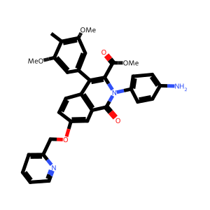 COC(=O)c1c(-c2cc(OC)c(C)c(OC)c2)c2ccc(OCc3ccccn3)cc2c(=O)n1-c1ccc(N)cc1